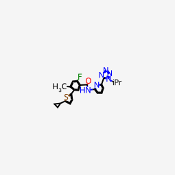 Cc1cc(F)c(C(=O)Nc2cccc(-c3nnnn3C(C)C)n2)cc1-c1ccc(C2CC2)s1